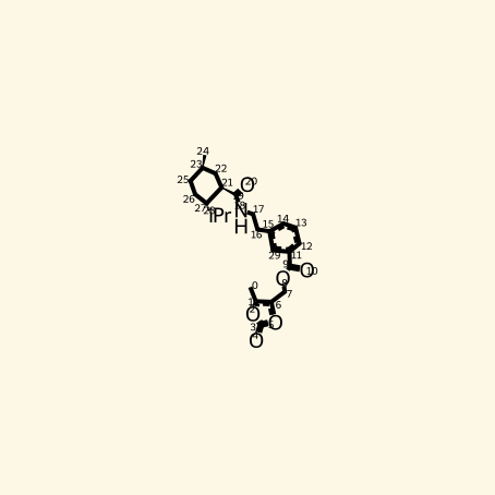 Cc1oc(=O)oc1COC(=O)c1cccc(CCNC(=O)[C@@H]2C[C@H](C)CC[C@H]2C(C)C)c1